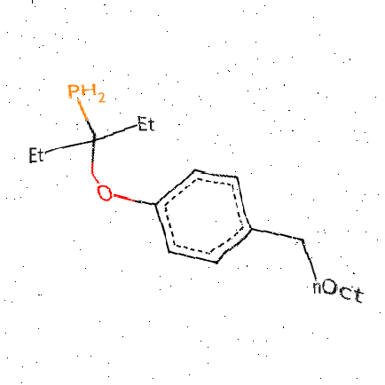 CCCCCCCCCc1ccc(OC(P)(CC)CC)cc1